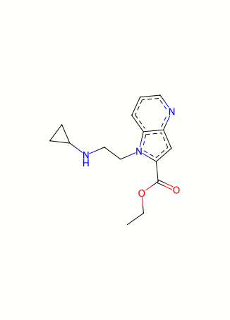 CCOC(=O)c1cc2ncccc2n1CCNC1CC1